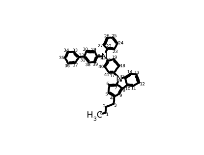 CCCCc1ccc2c(c1)c1ccccc1n2-c1ccc(N(c2ccccc2)c2ccc(-c3ccccc3)cc2)cc1